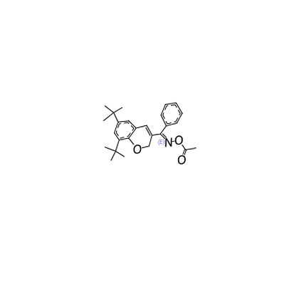 CC(=O)O/N=C(/C1=Cc2cc(C(C)(C)C)cc(C(C)(C)C)c2OC1)c1ccccc1